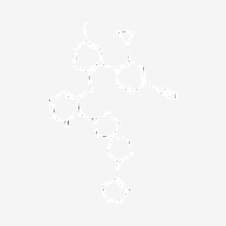 N#Cc1ccc(-c2cc(F)ccc2Oc2cncnc2N2CCC3(CCN(c4nccs4)C3)C2)c(C2CC2)c1